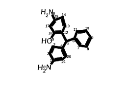 Nc1ccc(C(c2ccccc2)c2ccc(N)cc2O)cc1